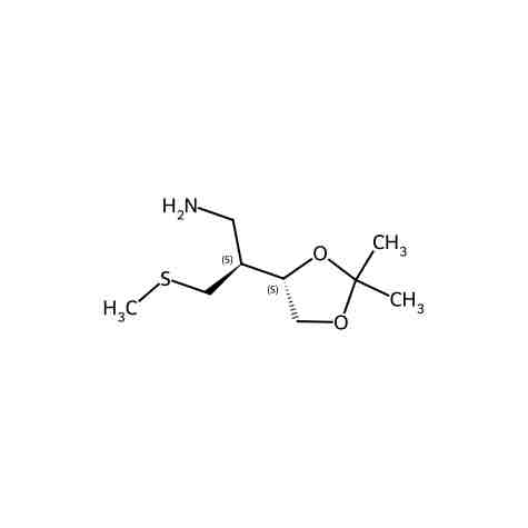 CSC[C@@H](CN)[C@H]1COC(C)(C)O1